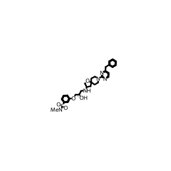 CNS(=O)(=O)c1cccc(OC[C@@H](O)CNC2COC3(CCN(c4nccc(Cc5ccccc5)n4)CC3)C2)c1